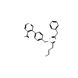 CCCCc1nc(Cc2ccccc2)nn1Cc1ccc(-c2cnccc2C(=O)O)cc1